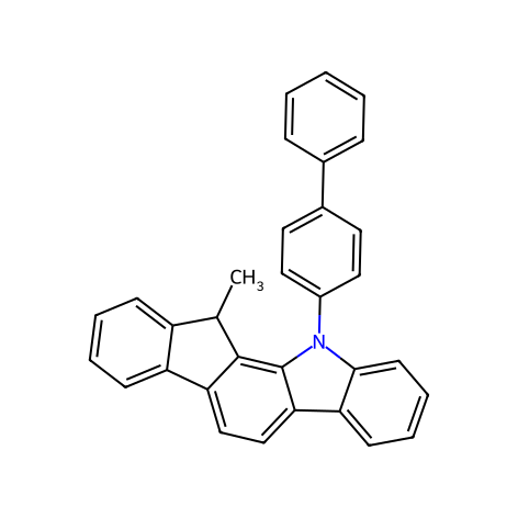 CC1c2ccccc2-c2ccc3c4ccccc4n(-c4ccc(-c5ccccc5)cc4)c3c21